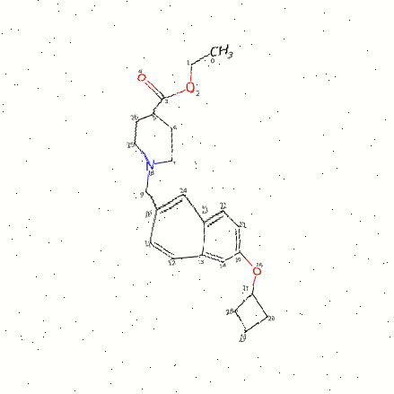 CCOC(=O)C1CCN(Cc2ccc3cc(OC4CCC4)ccc3c2)CC1